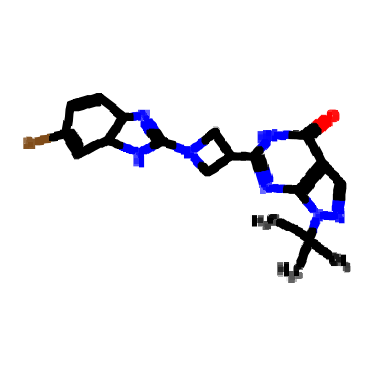 CC(C)(C)n1ncc2c(=O)[nH]c(C3CN(C4=NC5C=CC(Br)=CC5N4)C3)nc21